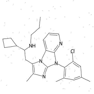 CCCNC(Cc1c(C)nc2n(-c3c(C)cc(C)cc3Cl)c3ncccc3n12)C1CCC1